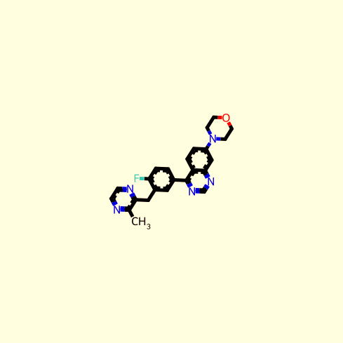 Cc1nccnc1Cc1cc(-c2ncnc3cc(N4CCOCC4)ccc23)ccc1F